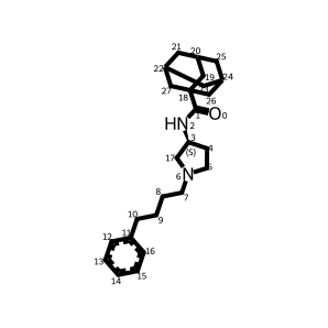 O=C(N[C@H]1CCN(CCCCc2ccccc2)C1)C12CC3CC(CC(C3)C1)C2